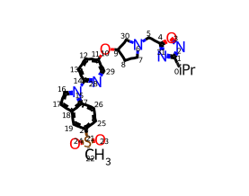 CC(C)c1noc(CN2CCC(Oc3ccc(-n4ccc5cc(S(C)(=O)=O)ccc54)nc3)C2)n1